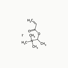 C=CC(=O)OC(C)[N+](C)(C)C.[I-]